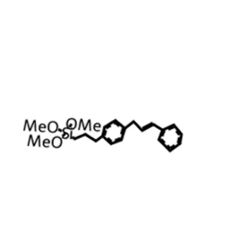 CO[Si](CCCc1ccc(CC=Cc2ccccc2)cc1)(OC)OC